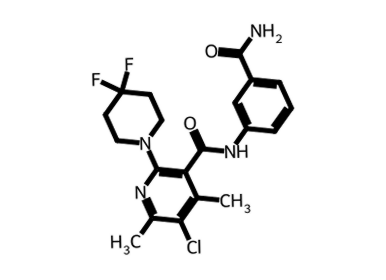 Cc1nc(N2CCC(F)(F)CC2)c(C(=O)Nc2cccc(C(N)=O)c2)c(C)c1Cl